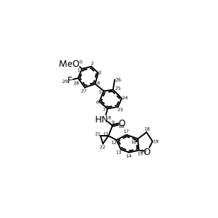 COc1ccc(-c2cc(NC(=O)C3(c4ccc5c(c4)CCO5)CC3)ccc2C)cc1F